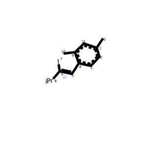 Cc1ccc(/C=C(\I)C(C)C)c(C)c1